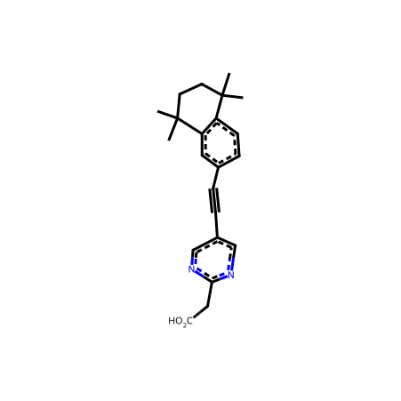 CC1(C)CCC(C)(C)c2cc(C#Cc3cnc(CC(=O)O)nc3)ccc21